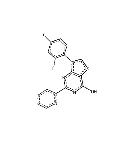 Oc1nc(-c2ccccn2)nc2c(-c3ccc(F)cc3F)csc12